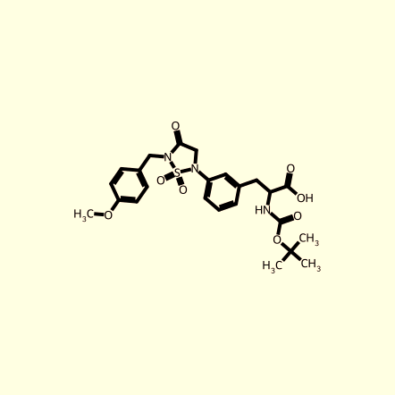 COc1ccc(CN2C(=O)CN(c3cccc(CC(NC(=O)OC(C)(C)C)C(=O)O)c3)S2(=O)=O)cc1